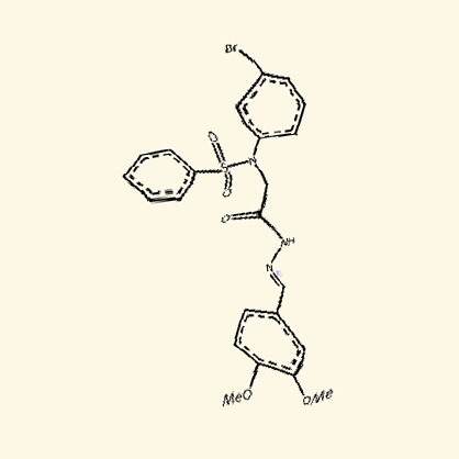 COc1ccc(/C=N/NC(=O)CN(c2cccc(Br)c2)S(=O)(=O)c2ccccc2)cc1OC